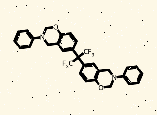 FC(F)(F)C(c1ccc2c(c1)CN(c1ccccc1)CO2)(c1ccc2c(c1)CN(c1ccccc1)CO2)C(F)(F)F